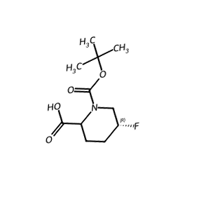 CC(C)(C)OC(=O)N1C[C@H](F)CCC1C(=O)O